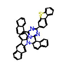 c1ccc2cc3c(cc2c1)c1ccccc1n3-c1ccc2ccccc2c1-c1nc(-c2ccc3c(c2)sc2ccccc23)nc(-c2cccc3ccccc23)n1